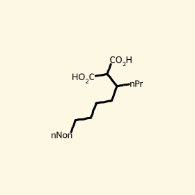 CCCCCCCCCCCCCC(CCC)C(C(=O)O)C(=O)O